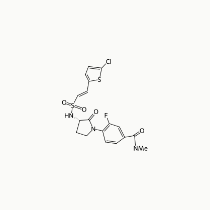 CNC(=O)c1ccc(N2CC[C@H](NS(=O)(=O)C=Cc3ccc(Cl)s3)C2=O)c(F)c1